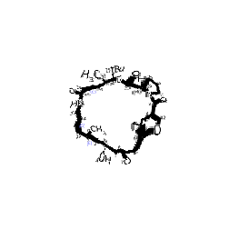 CC1=C\[C@@H](O)CC(=O)Cc2nc(co2)C(=O)N2CCC[C@@H]2C(=O)O[C@H](C(C)(C)C)[C@H](C)/C=C/C(=O)NC\C=C\1